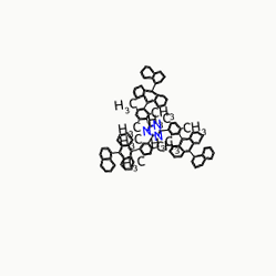 Cc1cc(C)c(-c2c3ccccc3c(-c3cccc4ccccc34)c3ccccc23)c(C)c1-c1nc(-c2c(C)cc(C)c(-c3c4ccccc4c(-c4cccc5ccccc45)c4ccccc34)c2C)nc(-c2c(C)cc(C)c(-c3c4ccccc4c(-c4cccc5ccccc45)c4ccccc34)c2C)n1